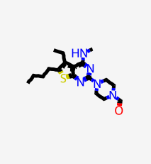 CCCCc1sc2nc(N3CCN(C=O)CC3)nc(NC)c2c1CC